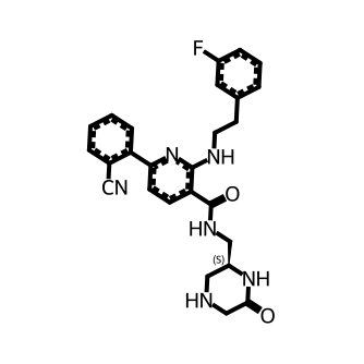 N#Cc1ccccc1-c1ccc(C(=O)NC[C@@H]2CNCC(=O)N2)c(NCCc2cccc(F)c2)n1